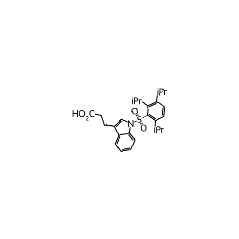 CC(C)c1ccc(C(C)C)c(S(=O)(=O)n2cc(CCC(=O)O)c3ccccc32)c1C(C)C